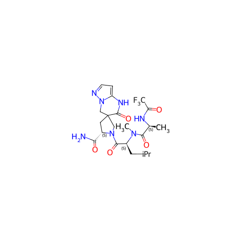 CC(C)C[C@@H](C(=O)N1CC2(C[C@H]1C(N)=O)Cn1nccc1NC2=O)N(C)C(=O)[C@H](C)NC(=O)C(F)(F)F